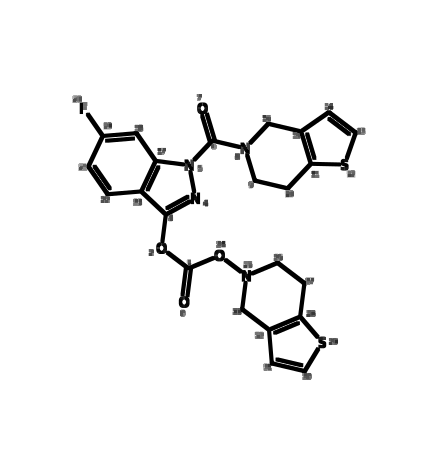 O=C(Oc1nn(C(=O)N2CCc3sccc3C2)c2cc(F)ccc12)ON1CCc2sccc2C1